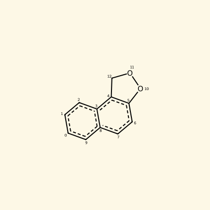 c1ccc2c3c(ccc2c1)OOC3